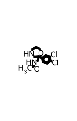 CC(=O)NCC1(c2ccc(Cl)c(Cl)c2)CNCCCO1